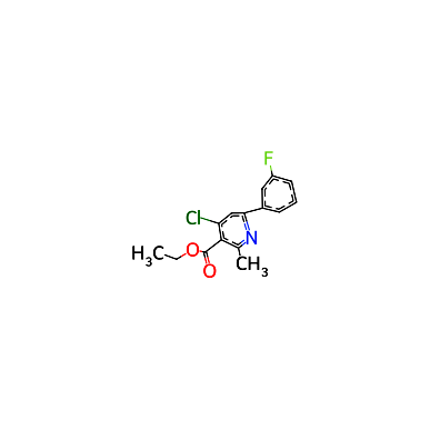 CCOC(=O)c1c(Cl)cc(-c2cccc(F)c2)nc1C